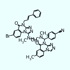 CN(C)c1nnc2n(CC=Cc3ccccc3)c(=O)c3cc(Br)ccc3n12.Cc1ccc2c(c1)c(=O)n(C(c1ccc(C#N)cc1)N(C)C)c1nncn21